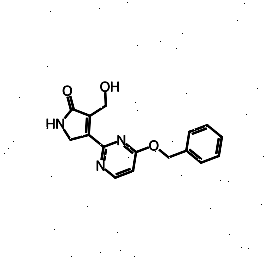 O=C1NCC(c2nccc(OCc3ccccc3)n2)=C1CO